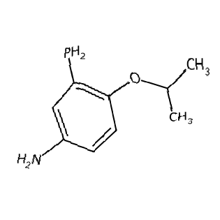 CC(C)Oc1ccc(N)cc1P